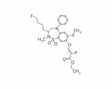 CCOC(=O)/C(F)=C/Oc1cc2c(cc1SC)N(c1ccccc1)CC(CCCCF)N(C)S2(=O)=O